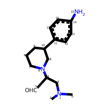 CN(C)CC(C=O)N1CCCC(c2ccc(N)cc2)C1